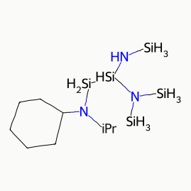 CC(C)N([SiH2][SiH](N[SiH3])N([SiH3])[SiH3])C1CCCCC1